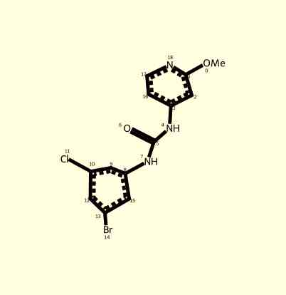 COc1cc(NC(=O)Nc2cc(Cl)cc(Br)c2)ccn1